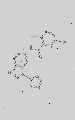 Cc1ncc(C#N)nc1C(=O)Nc1ccc2[nH]nc(-c3ccoc3)c2c1